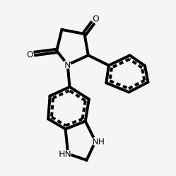 O=C1CC(=O)N(c2ccc3c(c2)NCN3)C1c1ccccc1